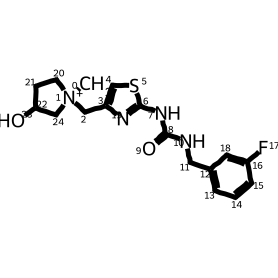 C[N+]1(Cc2csc(NC(=O)NCc3cccc(F)c3)n2)CCC(O)C1